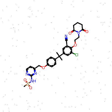 CC(C)(c1ccc(OCc2ccnc(NS(C)(=O)=O)n2)cc1)c1cc(Cl)c(OCCN2C(=O)CCCC2=O)c(C#N)c1